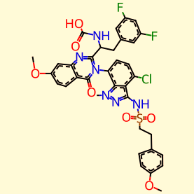 COc1ccc(CCS(=O)(=O)Nc2nn(C)c3c(-n4c(C(Cc5cc(F)cc(F)c5)NC(=O)O)nc5cc(OC)ccc5c4=O)ccc(Cl)c23)cc1